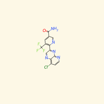 NC(=O)c1cnc(-c2cnc3c(Cl)ccnc3n2)c(C(F)(F)F)c1